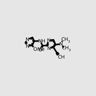 C#Cc1nc(C(=O)Nc2cncnc2OC)ncc1N(C)C